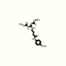 CCCCCCCCCCc1ccc(NC(=O)CCCN/C(=N\C(=O)OC(C)(C)C)NC(=O)OC(C)(C)C)cc1